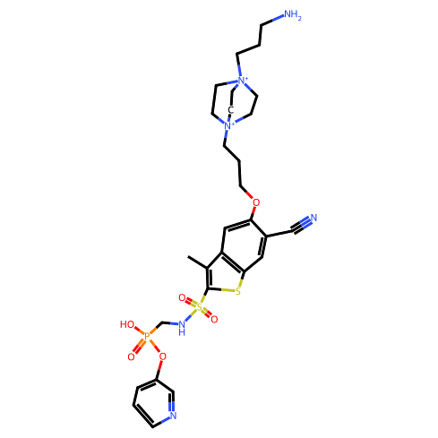 Cc1c(S(=O)(=O)NCP(=O)(O)Oc2cccnc2)sc2cc(C#N)c(OCCC[N+]34CC[N+](CCCN)(CC3)CC4)cc12